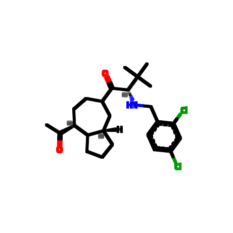 CC(=O)[C@H]1CCC(C(=O)[C@@H](NCc2ccc(Cl)cc2Cl)C(C)(C)C)C[C@@H]2CCCC21